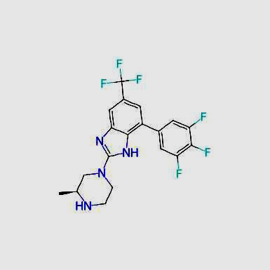 C[C@H]1CN(c2nc3cc(C(F)(F)F)cc(-c4cc(F)c(F)c(F)c4)c3[nH]2)CCN1